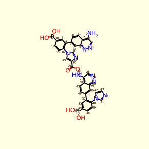 Nc1cnnc2cc(-c3cc(B(O)O)ccc3-n3cnc(C(=O)ONc4cnnc5cc(-c6cc(B(O)O)ccc6-n6ccnc6)ccc45)c3)ccc12